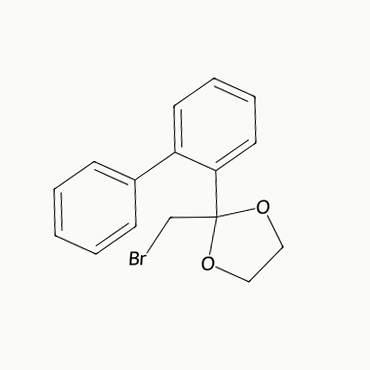 BrCC1(c2ccccc2-c2ccccc2)OCCO1